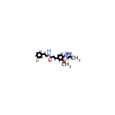 COc1cc(/C=C/C(=O)NCCc2cccc(F)c2)ccc1-n1cnc(C)c1